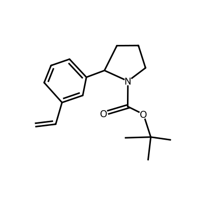 C=Cc1cccc(C2CCCN2C(=O)OC(C)(C)C)c1